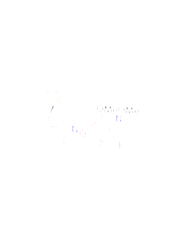 CO/N=C(\C(=O)OC)c1ccccc1CO/N=C(\C)[C@@H]1C[C@H]1c1cccs1